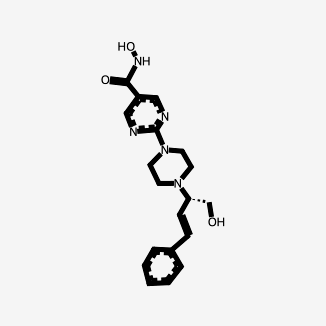 O=C(NO)c1cnc(N2CCN([C@@H](/C=C/c3ccccc3)CO)CC2)nc1